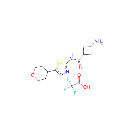 NC1CC(C(=O)Nc2ncc(C3CCOCC3)s2)C1.O=C(O)C(F)(F)F